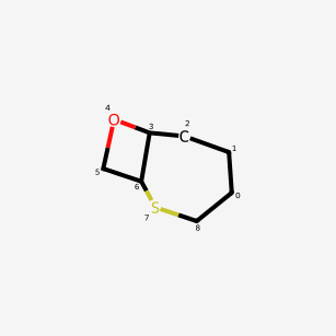 C1CCC2OCC2SC1